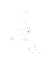 [C-]#[N+]c1ccc2c(N3CCC(O)CC3)nnc(NCc3ccc(C)c(Cl)c3)c2c1